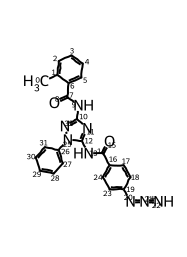 Cc1ccccc1C(=O)Nc1nc(NC(=O)c2ccc(N=[N+]=N)cc2)n(-c2ccccc2)n1